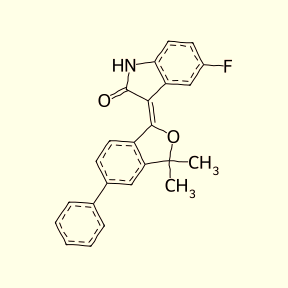 CC1(C)O/C(=C2/C(=O)Nc3ccc(F)cc32)c2ccc(-c3ccccc3)cc21